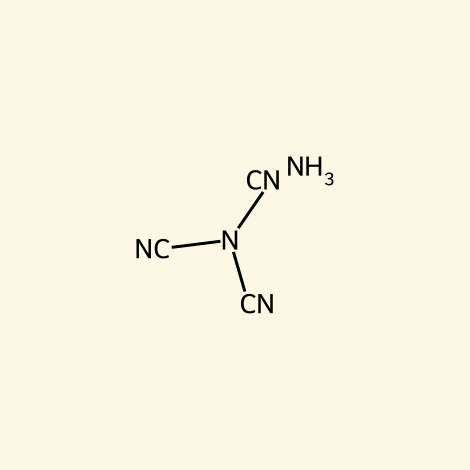 N.N#CN(C#N)C#N